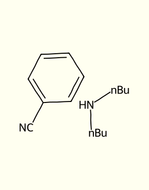 CCCCNCCCC.N#Cc1ccccc1